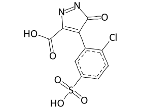 O=C(O)C1=C(c2cc(S(=O)(=O)O)ccc2Cl)C(=O)N=N1